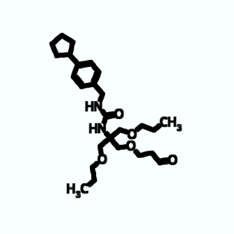 CCCOCC(COCCC)(COCCC=O)NC(=O)NCc1ccc(C2CCCC2)cc1